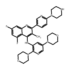 Cc1c(-c2ccc(N3CCNCC3)nc2)nc2cc(F)cc(F)c2c1Nc1cc(N2CCOCC2)cnc1N1CCOCC1